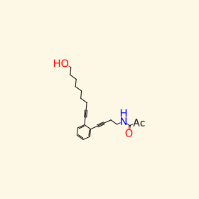 CC(=O)C(=O)NCCC#Cc1ccccc1C#CCCCCCCCO